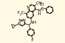 CC[C@@H](Nc1c(C#N)cnc2c(C(F)(F)F)cc(NC(c3ccc(F)cc3)c3cn(C4CC4)nn3)cc12)c1ccccc1